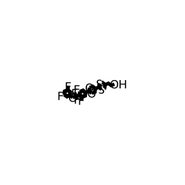 OCCC1CSC(C2COC(c3cc(F)c(C(F)(F)Oc4cc(F)cc(F)c4)c(F)c3)OC2)SC1